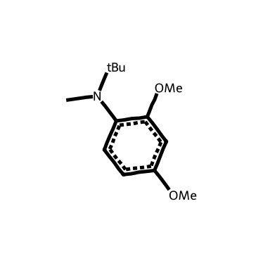 COc1ccc(N(C)C(C)(C)C)c(OC)c1